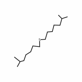 CC(C)CCCCCSCCCCCC(C)C